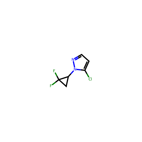 FC1(F)CC1n1nccc1Cl